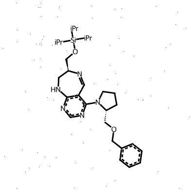 CC(C)[Si](OC[C@@H]1CNc2ncnc(N3CCC[C@@H]3COCc3ccccc3)c2C=N1)(C(C)C)C(C)C